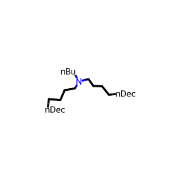 CCCCCCCCCCCCCCN(CCCC)CCCCCCCCCCCCCC